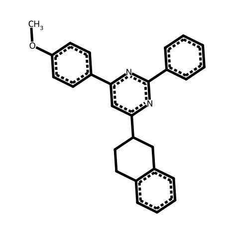 COc1ccc(-c2cc(C3CCc4ccccc4C3)nc(-c3ccccc3)n2)cc1